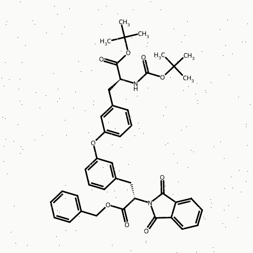 CC(C)(C)OC(=O)N[C@@H](Cc1cccc(Oc2cccc(C[C@@H](C(=O)OCc3ccccc3)N3C(=O)c4ccccc4C3=O)c2)c1)C(=O)OC(C)(C)C